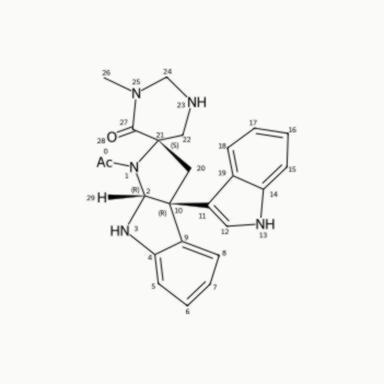 CC(=O)N1[C@H]2Nc3ccccc3[C@@]2(c2c[nH]c3ccccc23)C[C@@]12CNCN(C)C2=O